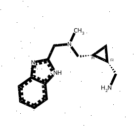 CN(Cc1nc2ccccc2[nH]1)C[C@@H]1C[C@@H]1CN